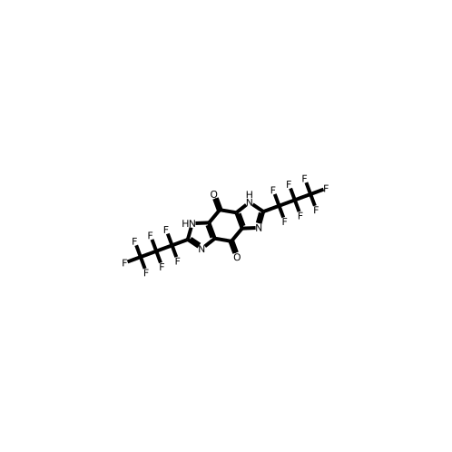 O=C1c2nc(C(F)(F)C(F)(F)C(F)(F)F)[nH]c2C(=O)c2[nH]c(C(F)(F)C(F)(F)C(F)(F)F)nc21